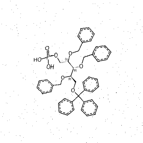 O=P(O)(O)OC[C@H](OCc1ccccc1)[C@H](OCc1ccccc1)[C@@H](COC(c1ccccc1)(c1ccccc1)c1ccccc1)OCc1ccccc1